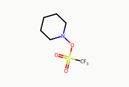 O=S(=O)(ON1CCCCC1)C(F)(F)F